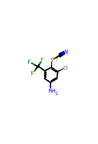 N#CSc1c(Cl)cc(N)cc1C(F)(F)F